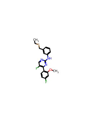 CCSCc1cccc(Nc2ncc(F)c(-c3ccc(F)cc3OC)n2)c1